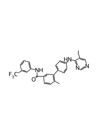 Cc1ccc(C(=O)Nc2cccc(C(F)(F)F)c2)cc1-c1ccc(Nc2ncncc2I)cc1